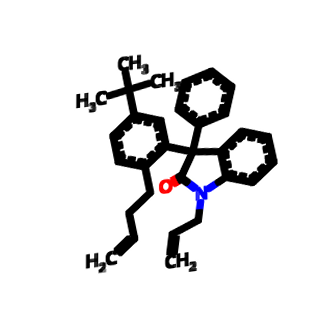 C=CCCc1ccc(C(C)(C)C)cc1C1(c2ccccc2)C(=O)N(CC=C)c2ccccc21